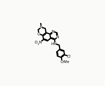 COc1ccc(CNc2ncnc3c4c(c([N+](=O)[O-])cc23)OCN(C)C4)cc1Cl